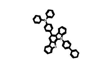 C1=CC(c2ccc(-n3c4ccccc4c4c(-c5ccc(N(c6ccccc6)c6ccccc6)cc5)cc5c6ccccc6sc5c43)cc2)=CCC1